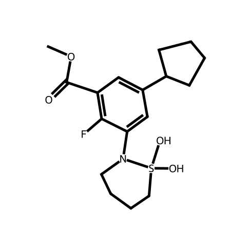 COC(=O)c1cc(C2CCCC2)cc(N2CCCCS2(O)O)c1F